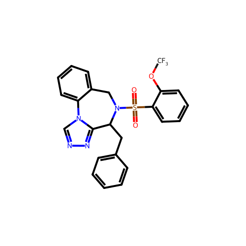 O=S(=O)(c1ccccc1OC(F)(F)F)N1Cc2ccccc2-n2cnnc2C1Cc1ccccc1